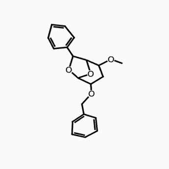 COC1CC(OCc2ccccc2)C2OC(c3ccccc3)C1O2